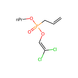 C=CCP(=O)(OC=C(Cl)Cl)OCCC